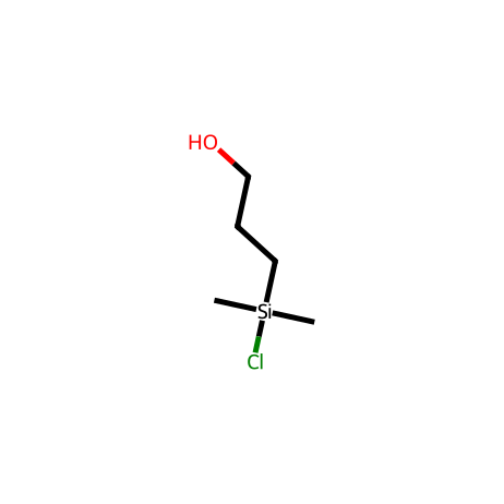 C[Si](C)(Cl)CCCO